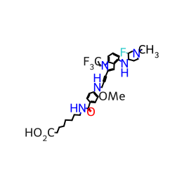 COc1cc(C(=O)NCCCCCCCC(=O)O)ccc1NCC#Cc1cc2c(N[C@@H]3CCN(C)C[C@@H]3F)cccc2n1CC(F)(F)F